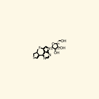 CC1CSC=C1c1ncnc2c1c(F)cn2[C@@H]1O[C@H](CO)[C@@H](O)[C@H]1O